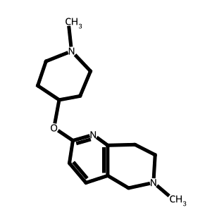 CN1CCC(Oc2ccc3c(n2)CCN(C)C3)CC1